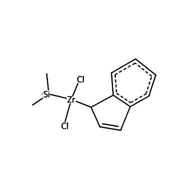 C[Si](C)[Zr]([Cl])([Cl])[CH]1C=Cc2ccccc21